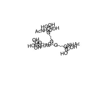 CC(=O)NC1C(O)CC(CO)O[C@H]1OCCCCCOCC(COCCCCCO[C@@H]1OC(CO)[C@H](O)C(O)C1NC(C)=O)COCCCCCO[C@@H]1OC(CO)[C@H](O)C(O)C1NC(C)=O